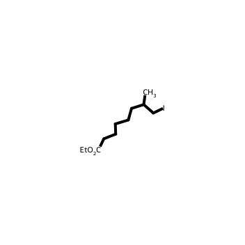 CCOC(=O)CCCCCC(C)CI